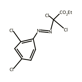 CCOC(=O)C(Cl)(Cl)N=Nc1ccc(Cl)cc1Cl